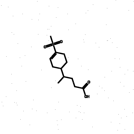 CC(CCC(=O)O)C1CC=C(S(C)(=O)=O)CC1